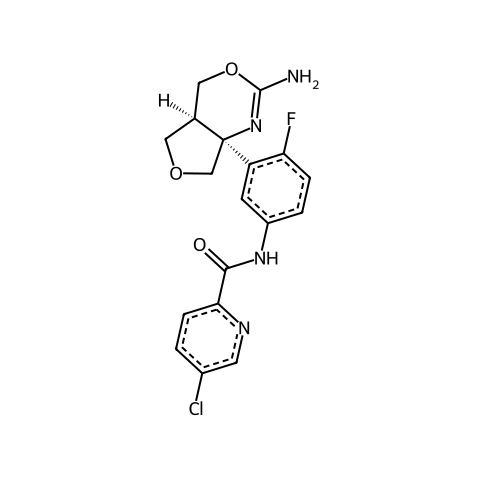 NC1=N[C@@]2(c3cc(NC(=O)c4ccc(Cl)cn4)ccc3F)COC[C@H]2CO1